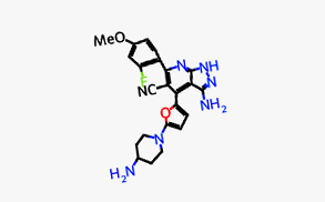 COc1ccc(-c2nc3[nH]nc(N)c3c(-c3ccc(N4CCC(N)CC4)o3)c2C#N)c(F)c1